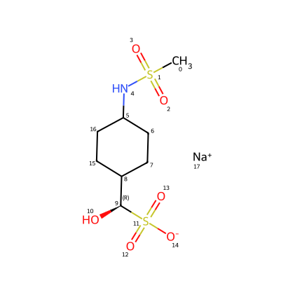 CS(=O)(=O)NC1CCC([C@H](O)S(=O)(=O)[O-])CC1.[Na+]